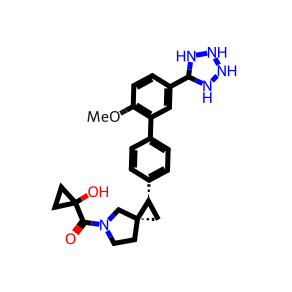 COc1ccc(C2NNNN2)cc1-c1ccc([C@@H]2C[C@@]23CCN(C(=O)C2(O)CC2)C3)cc1